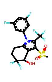 CS(=O)(=O)c1c2c(n(-c3cc(F)cc(F)c3)c1C(F)(F)F)CCC(F)(F)C2O